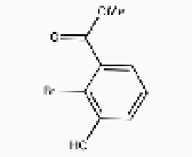 COC(=O)c1cccc(O)c1Br